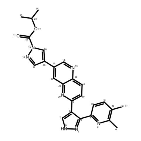 Cc1nc(-c2n[nH]cc2-c2ccc3ncc(-c4cnn(C(=O)OC(C)C)c4)cc3n2)ccc1F